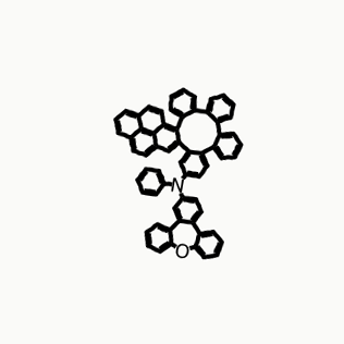 c1ccc(N(c2ccc3c(c2)-c2ccccc2Oc2ccccc2-3)c2ccc3c4ccccc4c4ccccc4c4ccccc4c4c(cc5ccc6cccc7ccc4c5c67)c3c2)cc1